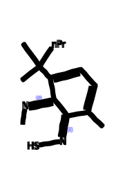 CCCC(C)(C)C1=CC=C(C)C(=N/S)/C1=N\C